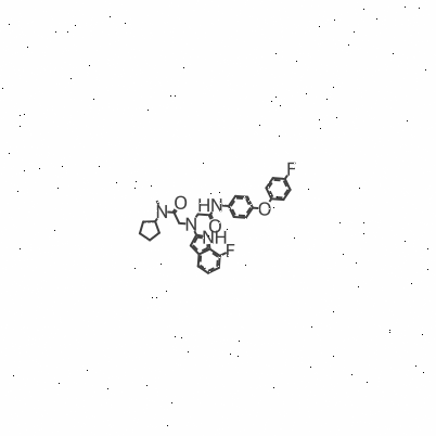 CN(C(=O)CN(CC(=O)Nc1ccc(Oc2ccc(F)cc2)cc1)c1cc2cccc(F)c2[nH]1)C1CCCC1